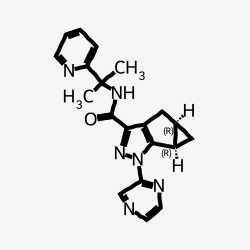 CC(C)(NC(=O)c1nn(-c2cnccn2)c2c1C[C@H]1C[C@@H]21)c1ccccn1